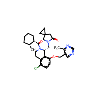 C[C@H]1CCCC[C@H]1C(=O)N1CCc2c(Cl)ccc(OCc3cncnc3C(F)(F)F)c2[C@H]1CN1CC2(CC2)CC1=O